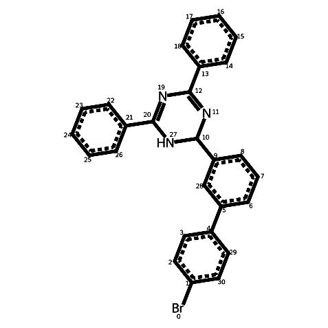 Brc1ccc(-c2cccc(C3N=C(c4ccccc4)N=C(c4ccccc4)N3)c2)cc1